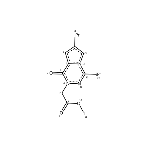 CC(C)c1cc2c(=O)n(CC(=O)OI)nc(C(C)C)n2c1